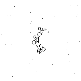 NC(=O)c1ccc(NC(=O)c2cccc(C#Cc3nnc4cccc(Cl)n34)c2)cc1